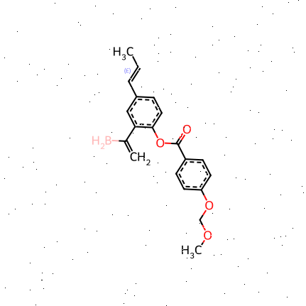 BC(=C)c1cc(/C=C/C)ccc1OC(=O)c1ccc(OCOC)cc1